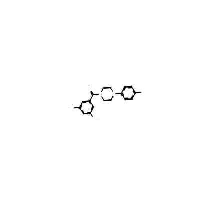 COc1cc(OC)cc(C(=O)N2CCN(c3ccc(Cl)cc3)CC2)c1